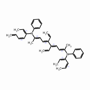 C=C/C=C\C(=C/C)N(/C(C)=C/C=C(C=C)/C(C=C)=C/C=C(\C)N(C(/C=C\C)=C/C)c1ccccc1)c1ccccc1